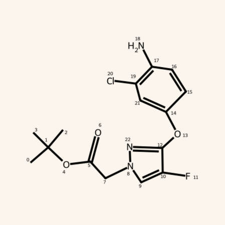 CC(C)(C)OC(=O)Cn1cc(F)c(Oc2ccc(N)c(Cl)c2)n1